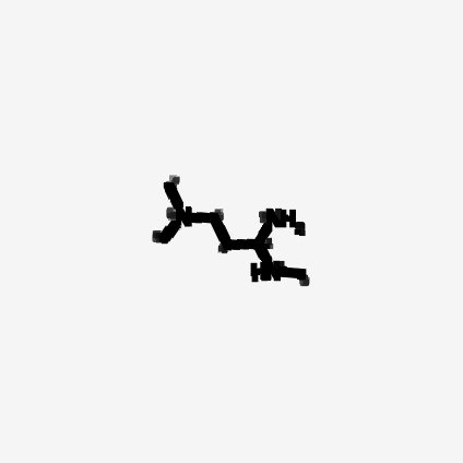 CNC(N)CCN(C)C